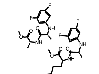 CCCCC(NC(=O)[C@H](C)Nc1cc(F)cc(F)c1)C(=O)OC.COC(=O)[C@H](C)NC(=O)[C@H](C)Nc1cc(F)cc(F)c1